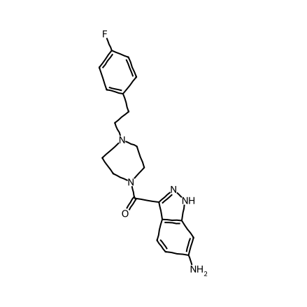 Nc1ccc2c(C(=O)N3CCN(CCc4ccc(F)cc4)CC3)n[nH]c2c1